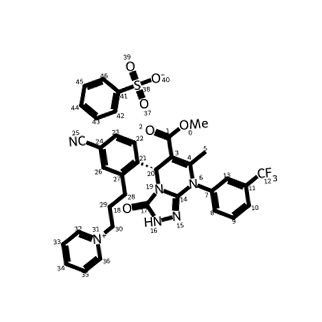 COC(=O)C1=C(C)N(c2cccc(C(F)(F)F)c2)c2n[nH]c(=O)n2[C@@H]1c1ccc(C#N)cc1CCC[n+]1ccccc1.O=S(=O)([O-])c1ccccc1